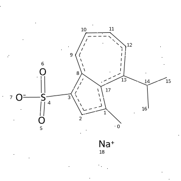 Cc1cc(S(=O)(=O)[O-])c2ccccc(C(C)C)c1-2.[Na+]